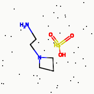 NCCN1CCC1.O=[SH](=O)O